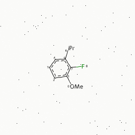 COc1cccc(C(C)C)c1F